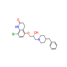 O=C1CCc2c(OCC(O)CN3CCC(Cc4ccccc4)CC3)ccc(Br)c2N1